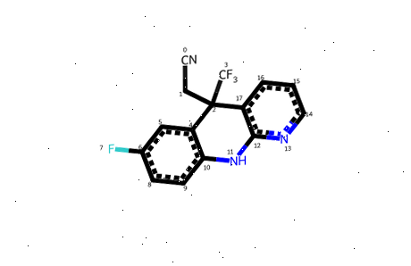 N#CCC1(C(F)(F)F)c2cc(F)ccc2Nc2ncccc21